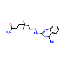 CC(C)(CCCNc1nc(N)c2ccccc2n1)CCC(N)=O